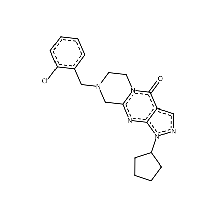 O=c1c2cnn(C3CCCC3)c2nc2n1CCN(Cc1ccccc1Cl)C2